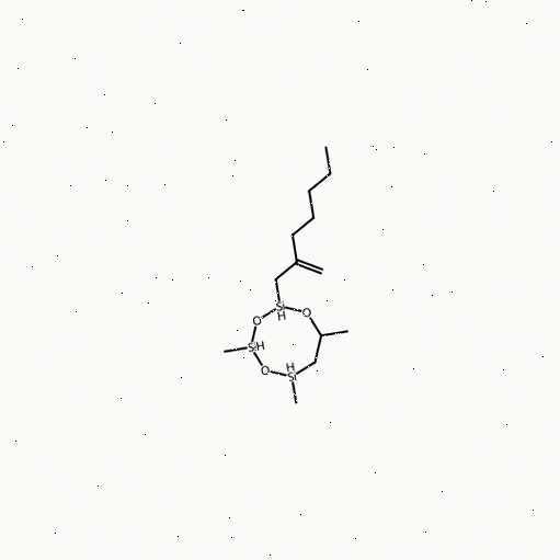 C=C(CCCCC)C[SiH]1OC(C)C[SiH](C)O[SiH](C)O1